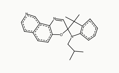 CC(C)CN1c2ccccc2C(C)(C)C12C=Nc1c(ccc3ccncc13)O2